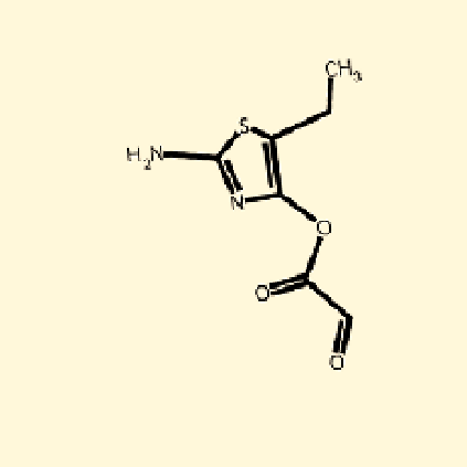 CCc1sc(N)nc1OC(=O)C=O